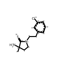 CC1(N)CCN(CCc2cccc(Cl)c2)C1=S